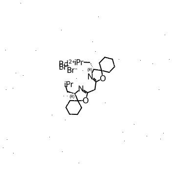 CC(C)C[C@H]1N=C(CC2=N[C@H](CC(C)C)C3(CCCCC3)O2)OC12CCCCC2.[Br-].[Br-].[Pd+2]